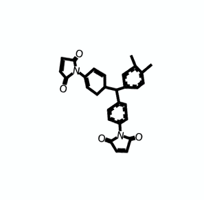 Cc1ccc(C(c2ccc(N3C(=O)C=CC3=O)cc2)C2C=CC(N3C(=O)C=CC3=O)=CC2)cc1C